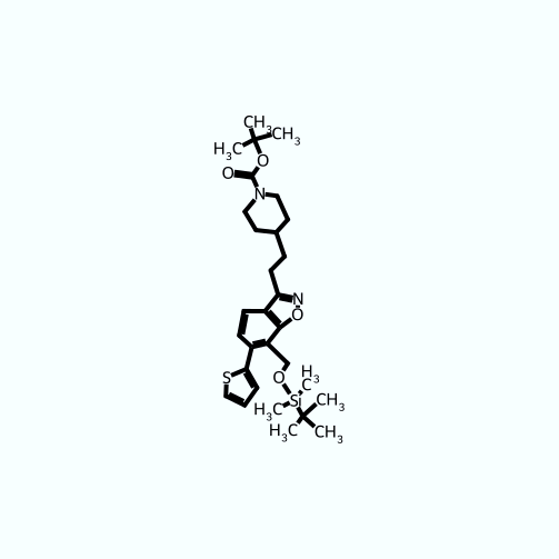 CC(C)(C)OC(=O)N1CCC(CCc2noc3c(CO[Si](C)(C)C(C)(C)C)c(-c4cccs4)ccc23)CC1